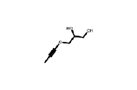 CC#COCC(O)CO